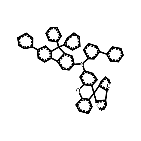 c1ccc(-c2cccc(N(c3ccc4c(c3)Oc3ccccc3C43c4ccccc4-c4ccccc43)c3ccc4c(c3)C(c3ccccc3)(c3ccccc3)c3cc(-c5ccccc5)ccc3-4)c2)cc1